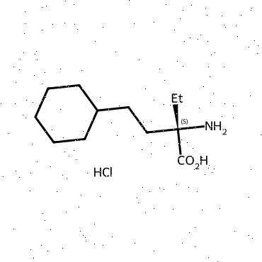 CC[C@](N)(CCC1CCCCC1)C(=O)O.Cl